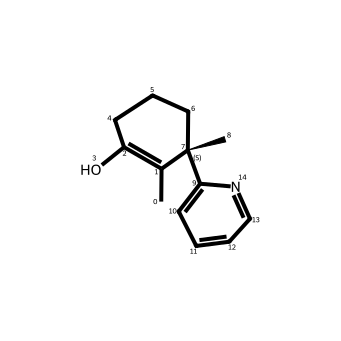 CC1=C(O)CCC[C@]1(C)c1ccccn1